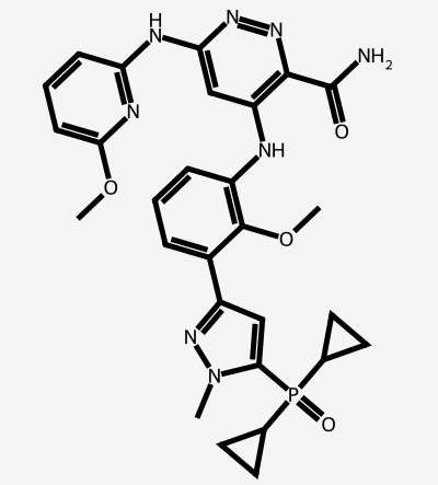 COc1cccc(Nc2cc(Nc3cccc(-c4cc(P(=O)(C5CC5)C5CC5)n(C)n4)c3OC)c(C(N)=O)nn2)n1